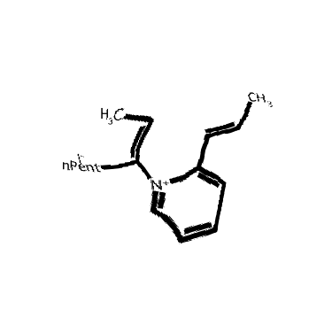 CC=Cc1cccc[n+]1C(=CC)CCCCC.[I-]